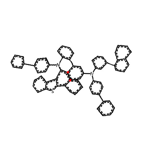 c1ccc(-c2ccc(N(c3cccc(-c4ccccc4N(c4ccc(-c5ccccc5)cc4)c4cc5ccccc5c5sc6ccccc6c45)c3)c3cccc(-c4cccc5ccccc45)c3)cc2)cc1